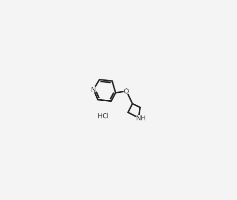 Cl.c1cc(OC2CNC2)ccn1